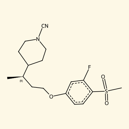 C[C@H](CCOc1ccc(S(C)(=O)=O)c(F)c1)C1CCN(C#N)CC1